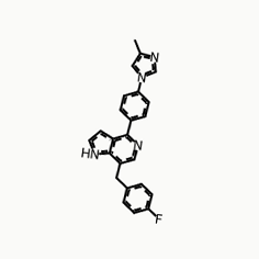 Cc1cn(-c2ccc(-c3ncc(Cc4ccc(F)cc4)c4[nH]ccc34)cc2)cn1